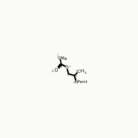 CCCCCC(C)COC(=O)OC